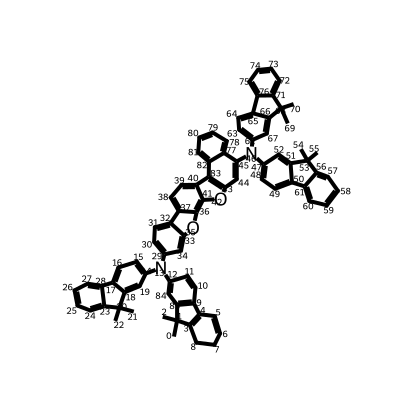 CC1(C)C2=C(C=CCC2)c2ccc(N(c3ccc4c(c3)C(C)(C)c3ccccc3-4)c3ccc4c(c3)oc3c4ccc4c3oc3cc(N(c5ccc6c(c5)C(C)(C)c5ccccc5-6)c5ccc6c(c5)C(C)(C)c5ccccc5-6)c5ccccc5c34)cc21